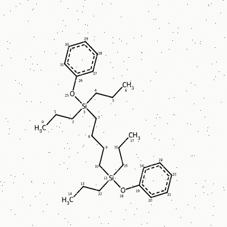 CCC[Si](CCC)(CCCC[Si](CCC)(CCC)Oc1ccccc1)Oc1ccccc1